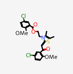 COc1ccc(Cl)cc1C(=O)/C=C1\SC(C)=C(C)N1CCOC(=O)c1cc(Cl)ccc1OC